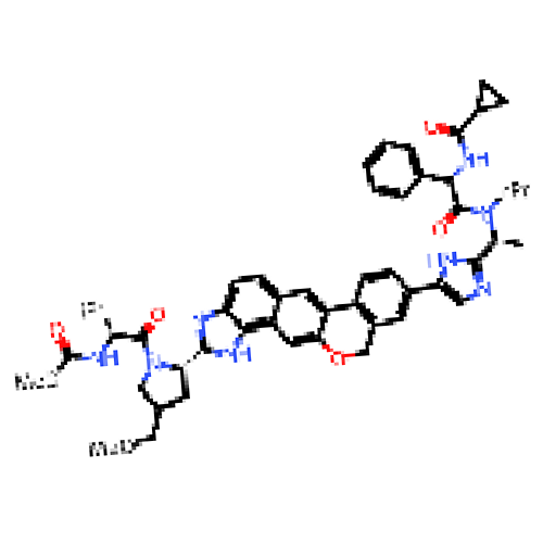 CCCN(C(=O)[C@H](NC(=O)C1CC1)c1ccccc1)[C@@H](C)c1ncc(-c2ccc3c(c2)COc2cc4c(ccc5nc([C@@H]6CC(COC)CN6C(=O)[C@@H](NC(=O)OC)C(C)C)[nH]c54)cc2-3)[nH]1